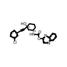 O=C(N[C@H]1CCC[C@@](O)(C#Cc2cccc(Cl)c2)C1)Oc1cnc2ccccc2n1